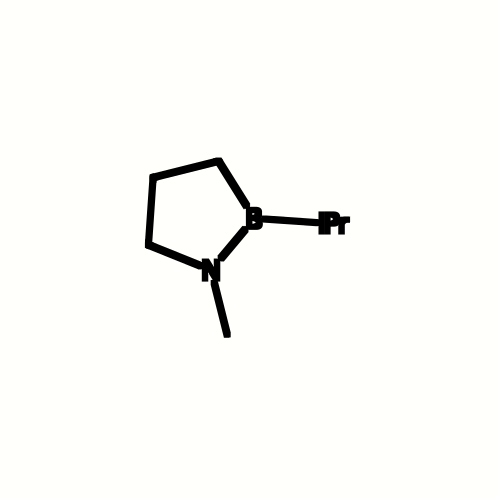 CC(C)B1CCCN1C